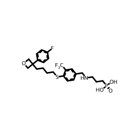 O=P(O)(O)CCCNCc1ccc(SCCCCC2(c3ccc(F)cc3)COC2)c(C(F)(F)F)c1